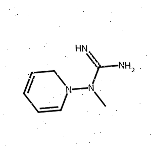 CN(C(=N)N)N1C=CC=CC1